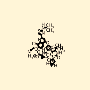 CC[C@@H]1C[C@]1(NC(=O)[C@@H]1C[C@@H](Oc2cc(-c3csc(NC(C)C)n3)nc3c(Cl)c(OCC#N)ccc23)CN1C(=O)[C@@H](NC(=O)O[C@@H]1C[C@@H]2C[C@@H]2C1)C(C)(C)C)C(=O)OC